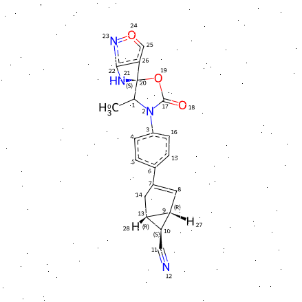 CC1N(c2ccc(C3=C[C@@H]4[C@@H](C#N)[C@@H]4C3)cc2)C(=O)O[C@]12Nc1nocc12